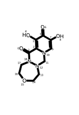 O=C1c2c(O)c(=O)c(O)cn2CN2CCOCCN12